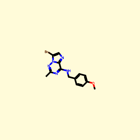 COc1ccc(CNc2nc(C)nn3c(Br)cnc23)cc1